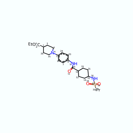 CCOC(=O)C1CCN(c2ccc(NC(=O)C3CCC(NS(=O)(=O)C(C)C)CC3)cc2)CC1